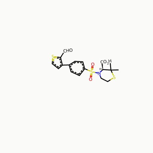 CC1(C)SCCN(S(=O)(=O)c2ccc(-c3ccsc3C=O)cc2)[C@H]1C(=O)O